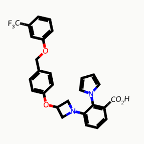 O=C(O)c1cccc(N2CC(Oc3ccc(COc4cccc(C(F)(F)F)c4)cc3)C2)c1-n1cccc1